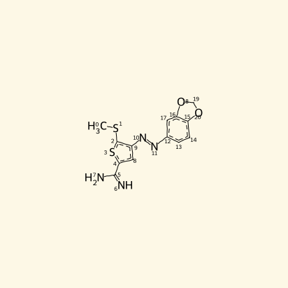 CSc1sc(C(=N)N)cc1N=Nc1ccc2c(c1)OCO2